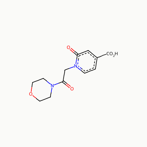 O=C(O)c1ccn(CC(=O)N2CCOCC2)c(=O)c1